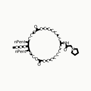 C=C=C=C=C1C(CCCCC)CCOC(=O)CCCCCCCC(NC(=O)CN2CCCC2)CCCCCCCC(=O)OCCC1CCCCC